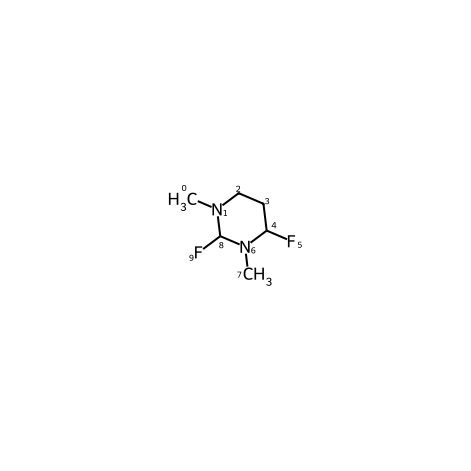 CN1CCC(F)N(C)C1F